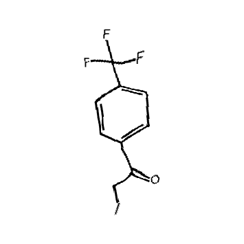 O=C(CI)c1ccc(C(F)(F)F)cc1